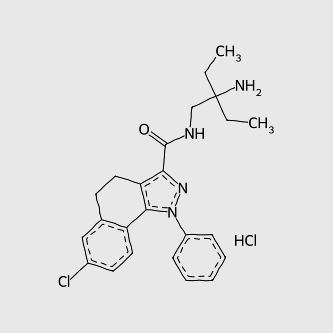 CCC(N)(CC)CNC(=O)c1nn(-c2ccccc2)c2c1CCc1cc(Cl)ccc1-2.Cl